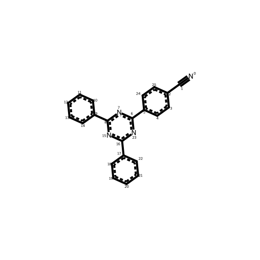 N#Cc1ccc(-c2nc(-c3ccccc3)nc(-c3ccccc3)n2)cc1